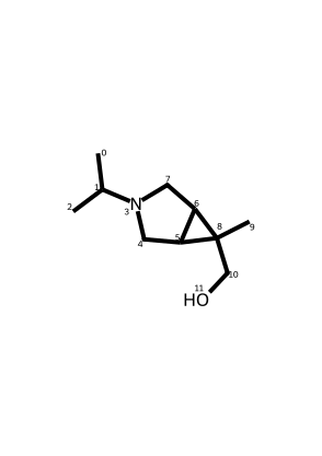 CC(C)N1CC2C(C1)C2(C)CO